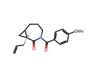 C=CC[C@]12CC1CCCN(C(=O)c1ccc(OC)cc1)C2=O